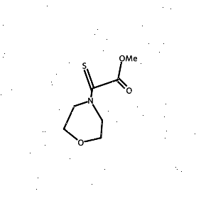 COC(=O)C(=S)N1CCOCC1